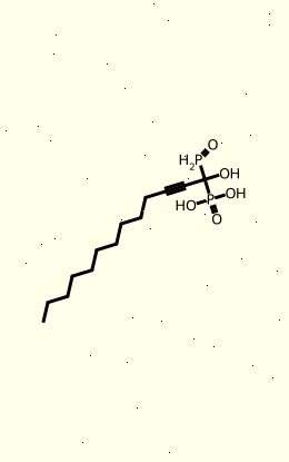 CCCCCCCCCCC#CC(O)([PH2]=O)P(=O)(O)O